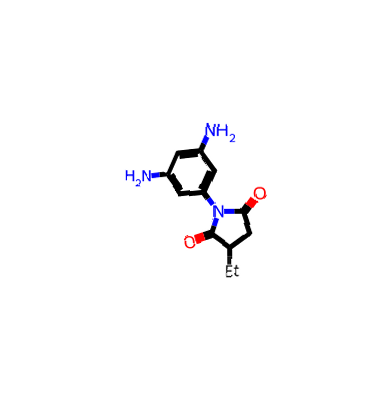 CCC1CC(=O)N(c2cc(N)cc(N)c2)C1=O